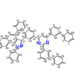 c1ccc(-c2cccc(-c3cc(-c4cccc(-c5nn(-c6ccccc6)c6c5c(-c5ccccc5)cc5ccccc56)c4)nc(-c4cccc(-c5ccccc5)c4)n3)c2)cc1